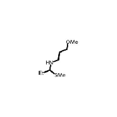 CCC(NCCCOC)SC